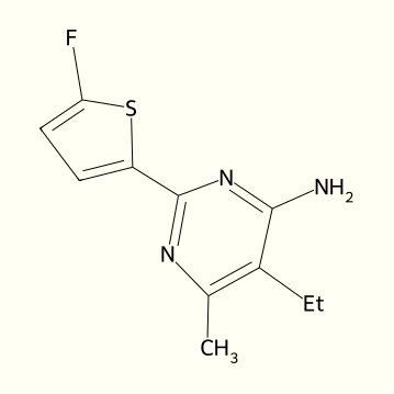 CCc1c(C)nc(-c2ccc(F)s2)nc1N